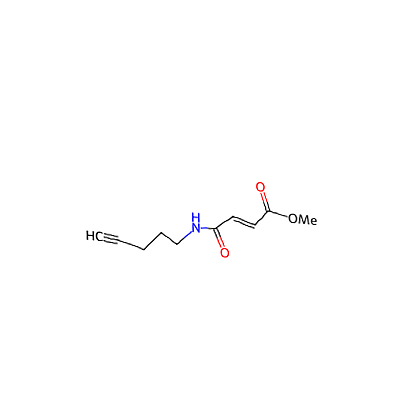 C#CCCCNC(=O)/C=C/C(=O)OC